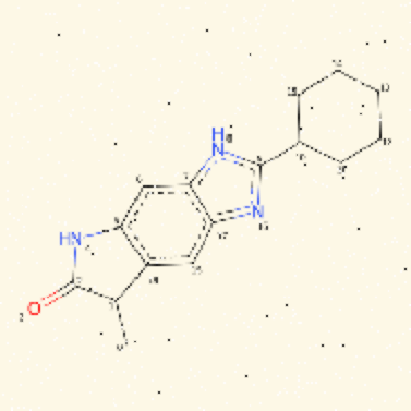 CC1C(=O)Nc2cc3[nH]c(C4CCCCC4)nc3cc21